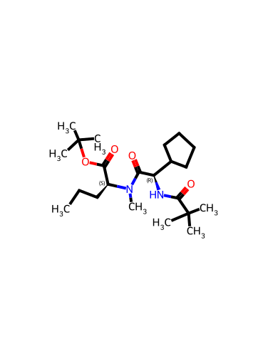 CCC[C@@H](C(=O)OC(C)(C)C)N(C)C(=O)[C@H](NC(=O)C(C)(C)C)C1CCCC1